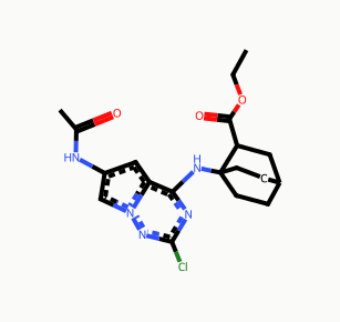 CCOC(=O)C1CC2CCC1(Nc1nc(Cl)nn3cc(NC(C)=O)cc13)CC2